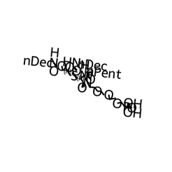 CCCCCCCCCCNC(=O)OC[C@H](CSC[C@H](NC(=O)CCCCC)C(=O)NCCOCCOCCOCCP(=O)(O)O)OC(=O)NCCCCCCCCCC